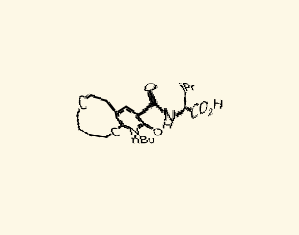 CCCCn1c2c(cc(C(=O)N[C@H](C(=O)O)C(C)C)c1=O)CCCCCCCC2